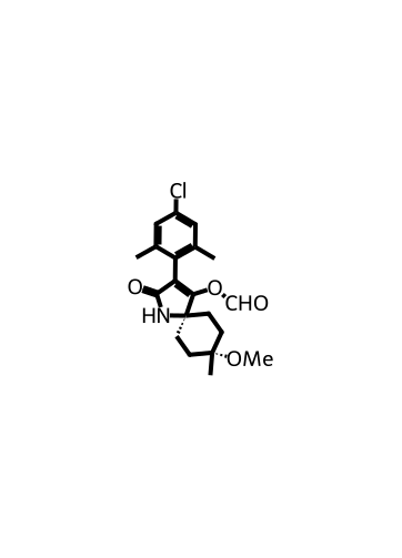 CO[C@]1(C)CC[C@]2(CC1)NC(=O)C(c1c(C)cc(Cl)cc1C)=C2OC=O